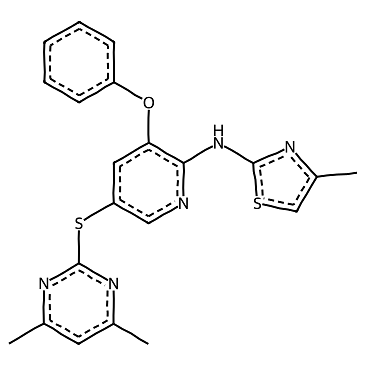 Cc1cc(C)nc(Sc2cnc(Nc3nc(C)cs3)c(Oc3ccccc3)c2)n1